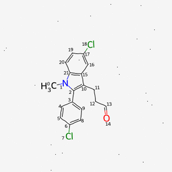 Cn1c(-c2ccc(Cl)cc2)c(CCC=O)c2cc(Cl)ccc21